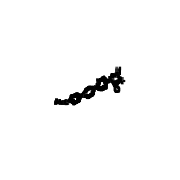 COc1ccc(N2CCN(c3ccc(N4CN[N]C4=O)cn3)CC2)cc1